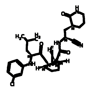 CC(C)C[C@H](Nc1cccc(Cl)c1)C(=O)N1[C@H]2CC[C@@H]([C@@H]1C(=O)N[C@H](C#N)C[C@@H]1CCCNC1=O)C(F)(F)C2